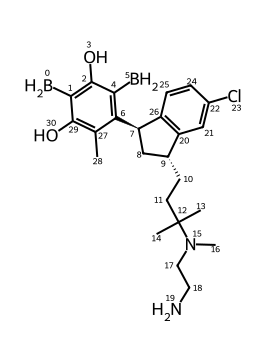 Bc1c(O)c(B)c([C@@H]2C[C@@H](CCC(C)(C)N(C)CCN)c3cc(Cl)ccc32)c(C)c1O